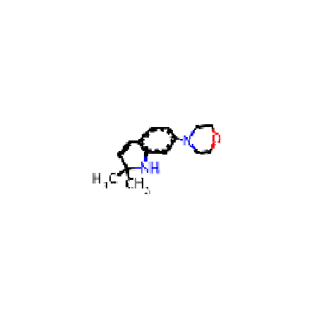 CC1(C)C=Cc2ccc(N3CCOCC3)cc2N1